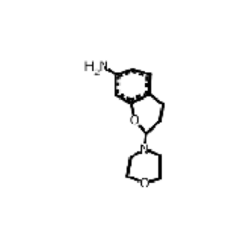 Nc1ccc2c(c1)OC(N1CCOCC1)CC2